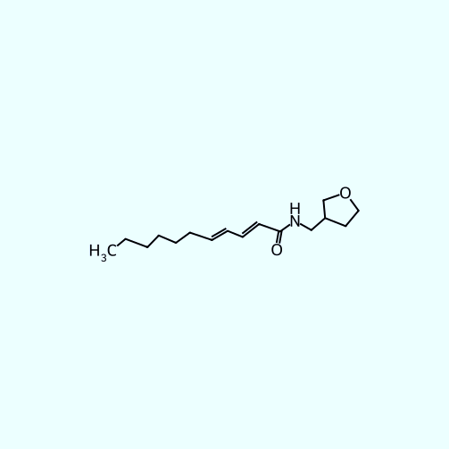 CCCCCC/C=C/C=C/C(=O)NCC1CCOC1